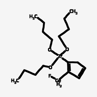 CCCC[O][Zr]([O]CCCC)([O]CCCC)[C]1=[C]([GeH2][F])C=CC1